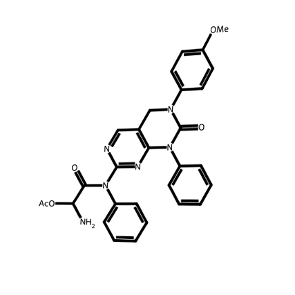 COc1ccc(N2Cc3cnc(N(C(=O)C(N)OC(C)=O)c4ccccc4)nc3N(c3ccccc3)C2=O)cc1